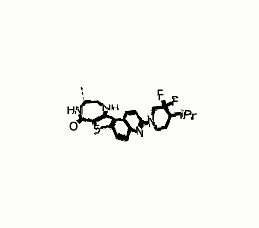 CC(C)C1CCN(c2ccc3c(ccc4sc5c(c43)NC[C@@H](C)NC5=O)n2)CC1(F)F